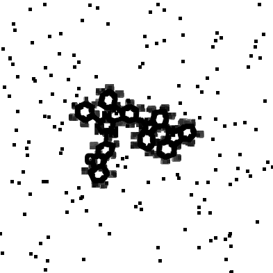 c1ccc(-c2nc(-c3ccc4c(c3)oc3ccccc34)nc(-c3cc(-n4c5ccccc5c5c(-n6c7ccccc7c7ccccc76)cccc54)ccc3-c3ccccc3)n2)cc1